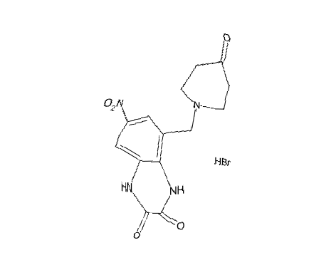 Br.O=C1CCN(Cc2cc([N+](=O)[O-])cc3[nH]c(=O)c(=O)[nH]c23)CC1